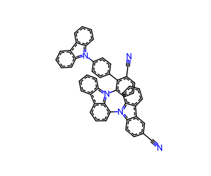 N#Cc1ccc2c(c1)c1ccccc1n2-c1cccc2c3ccccc3n(-c3cccc(C#N)c3-c3ccc(-n4c5ccccc5c5ccccc54)cc3)c12